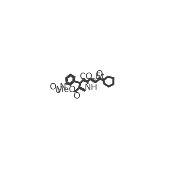 CCOC(=O)C1=C(C=CC(=O)C2CCCCC2)NC=C(C(=O)OC)C1c1cccc([N+](=O)[O-])c1